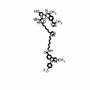 Cc1ncsc1-c1ccc([C@H](C)NC(=O)[C@@H]2C[C@@H](O)CN2C(=O)[C@@H](NC(=O)CCCCCc2cnnn2CCCCCCCNC(=O)c2ccc3c(c2)c2cn(C)nc2n3-c2ccc(C(F)(F)F)cc2)C(C)(C)C)cc1